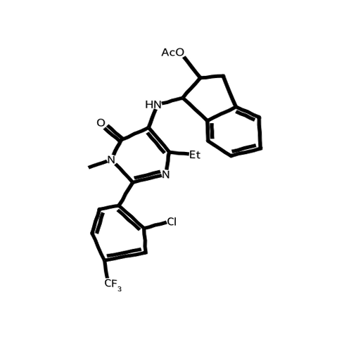 CCc1nc(-c2ccc(C(F)(F)F)cc2Cl)n(C)c(=O)c1NC1c2ccccc2CC1OC(C)=O